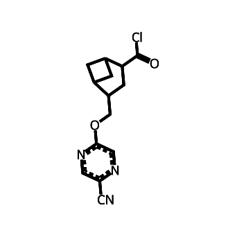 N#Cc1cnc(OCC2CC(C(=O)Cl)C3CC2C3)cn1